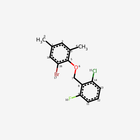 Cc1cc(C)c(OCc2c(F)cccc2Cl)c(Br)c1